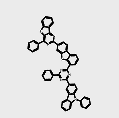 c1ccc(-c2nc(-c3ccc4c(c3)c3ccccc3n4-c3ccccc3)nc(-c3cccc4c3sc3cc(-c5nc(-c6ccccc6)c6sc7ccccc7c6n5)ccc34)n2)cc1